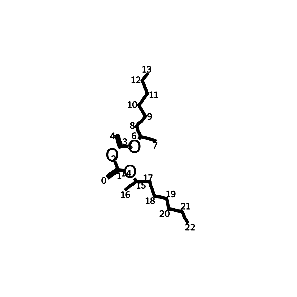 C=C(OC(=C)OC(C)CCCCCC)OC(C)CCCCCC